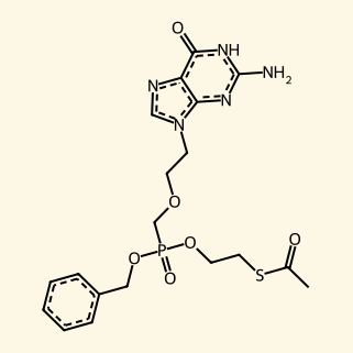 CC(=O)SCCOP(=O)(COCCn1cnc2c(=O)[nH]c(N)nc21)OCc1ccccc1